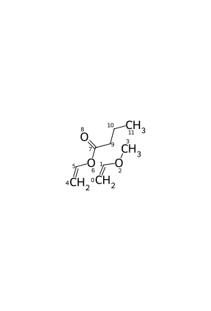 C=COC.C=COC(=O)CCC